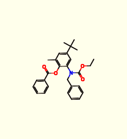 CCOC(=O)N(Cc1ccccc1)c1cc(C(C)(C)C)cc(C)c1OC(=O)c1ccccc1